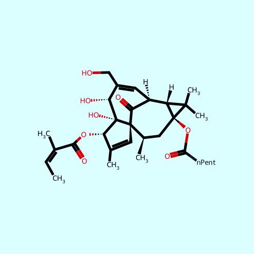 C/C=C(/C)C(=O)O[C@H]1C(C)=C[C@]23C(=O)[C@@H](C=C(CO)[C@@H](O)[C@]12O)[C@@H]1C(C)(C)[C@]1(OC(=O)CCCCC)C[C@H]3C